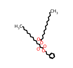 CCCCCCCCCCCCCC(=O)OC(CCCCCCCCCCC)C(=O)C(=O)OCCc1ccccc1